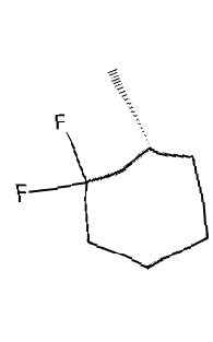 C[C@@H]1CCCCC1(F)F